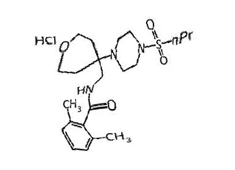 CCCS(=O)(=O)N1CCN(C2(CNC(=O)c3c(C)cccc3C)CCOCC2)CC1.Cl